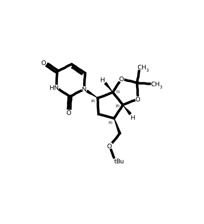 CC(C)(C)OC[C@H]1C[C@@H](n2ccc(=O)[nH]c2=O)[C@@H]2OC(C)(C)O[C@H]12